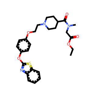 CCOC(=O)CN(C)C(=O)C1CCN(CCOc2ccc(Oc3nc4ccccc4s3)cc2)CC1